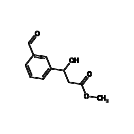 COC(=O)CC(O)c1cccc(C=O)c1